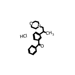 CC(CN1CCOCC1)c1cccc(C(=O)c2ccccc2)c1.Cl